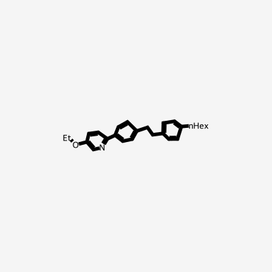 CCCCCCc1ccc(CCc2ccc(-c3ccc(OCC)cn3)cc2)cc1